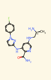 C[C@H](N)CNc1cnc(C(N)=O)c(Nc2ccn(-c3ccc(F)cc3)n2)c1